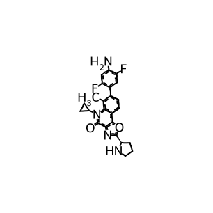 Cc1c(-c2cc(F)c(N)cc2F)ccc2c3oc([C@H]4CCCN4)nc3c(=O)n(C3CC3)c12